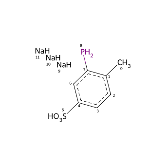 Cc1ccc(S(=O)(=O)O)cc1P.[NaH].[NaH].[NaH]